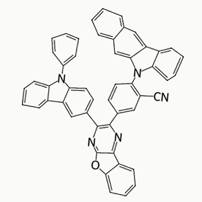 N#Cc1cc(-c2nc3c(nc2-c2ccc4c(c2)c2ccccc2n4-c2ccccc2)oc2ccccc23)ccc1-n1c2ccccc2c2cc3ccccc3cc21